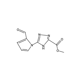 COC(=O)c1nnc(-n2cccc2C=O)[nH]1